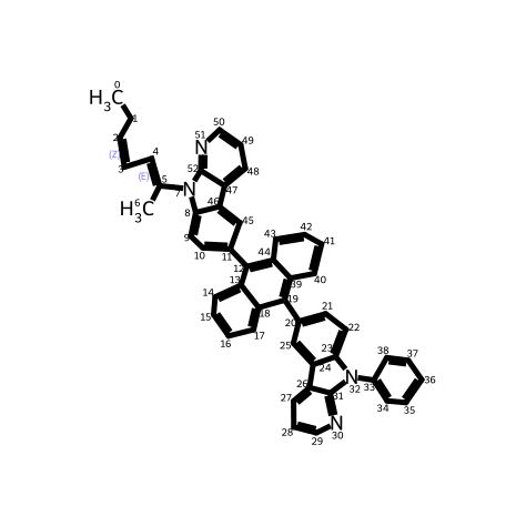 CC/C=C\C=C(/C)n1c2ccc(-c3c4ccccc4c(-c4ccc5c(c4)c4cccnc4n5-c4ccccc4)c4ccccc34)cc2c2cccnc21